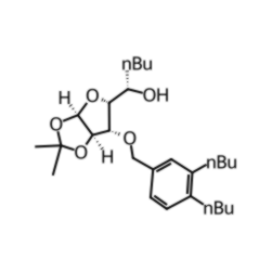 CCCCc1ccc(CO[C@@H]2[C@H]3OC(C)(C)O[C@H]3O[C@@H]2[C@@H](O)CCCC)cc1CCCC